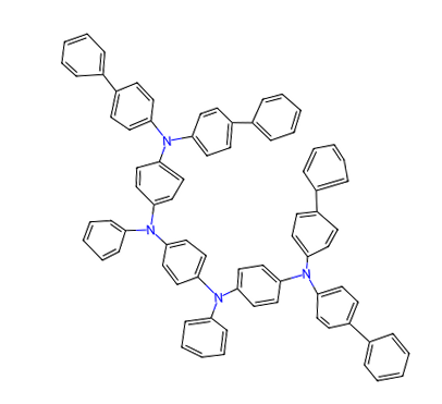 c1ccc(-c2ccc(N(c3ccc(-c4ccccc4)cc3)c3ccc(N(c4ccccc4)c4ccc(N(c5ccccc5)c5ccc(N(c6ccc(-c7ccccc7)cc6)c6ccc(-c7ccccc7)cc6)cc5)cc4)cc3)cc2)cc1